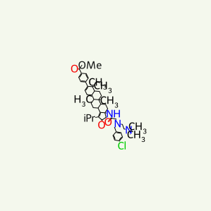 COC(=O)c1ccc(C2=CCC3(C)C(CCC4(C)C5CCC6(NC(=O)CN(CCN(C)C)Cc7ccc(Cl)cc7)CC(=O)C(C(C)C)=C6C5CCC43)C2(C)C)cc1